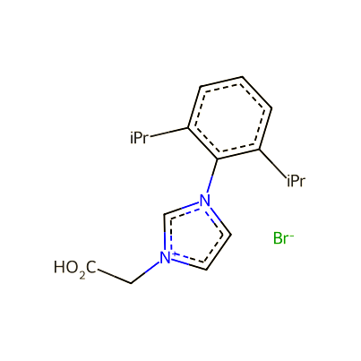 CC(C)c1cccc(C(C)C)c1-n1cc[n+](CC(=O)O)c1.[Br-]